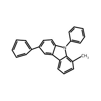 Cc1cccc2c3cc(-c4ccccc4)ccc3n(-c3ccccc3)c12